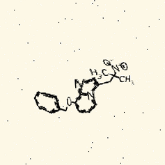 CC(C)(Cc1cnc2c(OCc3ccccc3)cccn12)[N+](=O)[O-]